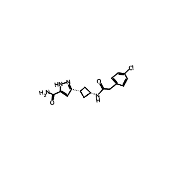 NC(=O)c1cc([C@H]2C[C@@H](NC(=O)Cc3ccc(Cl)cc3)C2)n[nH]1